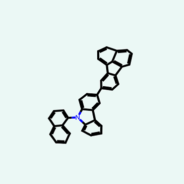 c1ccc2c(-n3c4ccccc4c4cc(-c5ccc6c(c5)-c5cccc7cccc-6c57)ccc43)cccc2c1